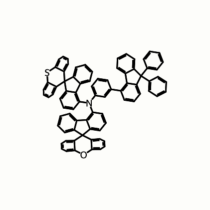 c1ccc(C2(c3ccccc3)c3ccccc3-c3c(-c4cccc(N(c5cccc6c5-c5ccccc5C65c6ccccc6Oc6ccccc65)c5cccc6c5-c5ccccc5C65c6ccccc6Sc6ccccc65)c4)cccc32)cc1